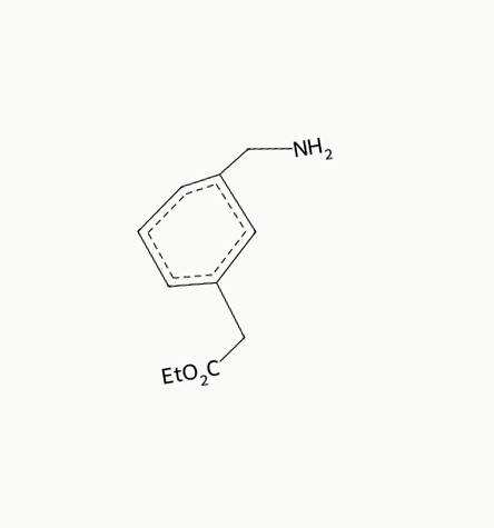 CCOC(=O)Cc1cccc(CN)c1